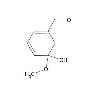 COC1(O)C=CC=C(C=O)C1